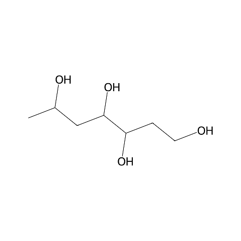 CC(O)CC(O)C(O)CCO